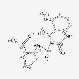 COc1cccc2[nH]c(=O)c(C(=O)Nc3ccccc3C(N)=O)c(O)c12